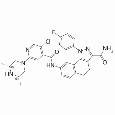 C[C@@H]1CN(c2cc(C(=O)Nc3ccc4c(c3)-c3c(c(C(N)=O)nn3-c3ccc(F)cc3)CC4)c(Cl)cn2)C[C@H](C)N1